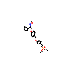 CCCP(=O)(CCc1ccc(OCc2ccc(OC/C(=N\OC)c3ccccc3)cc2)cc1)OCC